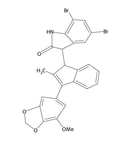 COc1cc(C2=C(C)C(C3C(=O)Nc4c(Br)cc(Br)cc43)c3ccccc32)cc2c1OCO2